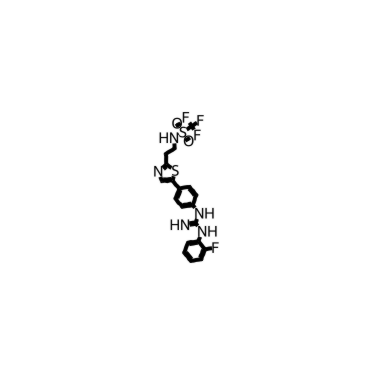 N=C(Nc1ccc(-c2cnc(CCNS(=O)(=O)C(F)(F)F)s2)cc1)Nc1ccccc1F